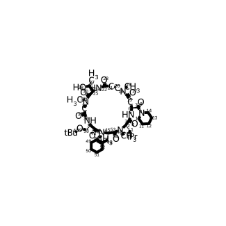 CC(C)C[C@H]1C(=O)N[C@H](C(=O)N2CCCCC2)CC(=O)N(C)CCC(=O)N[C@@H]([C@@H](C)O)C(=O)N(C)CC(=O)N[C@@H](COC(C)(C)C)C(=O)N(C)[C@@H](CC2=CCCCC2)C(=O)N1C